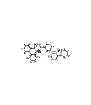 C1=Cc2sc3c(-c4cccc(-c5cnc6c7ccccc7c7ccccc7c6n5)c4)cccc3c2CC1